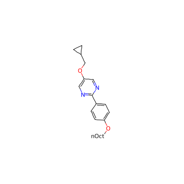 CCCCCCCCOc1ccc(-c2ncc(OCC3CC3)cn2)cc1